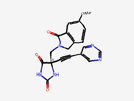 COc1ccc2c(c1)C(=O)N(C[C@@]1(C#Cc3cncnc3)NC(=O)NC1=O)C2